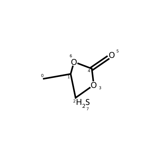 CC1COC(=O)O1.S